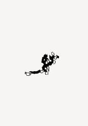 CCOC(=O)c1cn2c(cc1=O)-c1nc(Cl)c(OCCCOC)cc1C1CCC(C)(C)C12